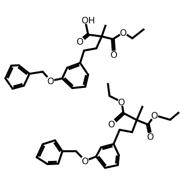 CCOC(=O)C(C)(CCc1cccc(OCc2ccccc2)c1)C(=O)O.CCOC(=O)C(C)(CCc1cccc(OCc2ccccc2)c1)C(=O)OCC